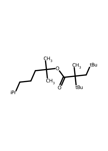 CC(C)CCCC(C)(C)OC(=O)C(C)(CC(C)(C)C)C(C)(C)C